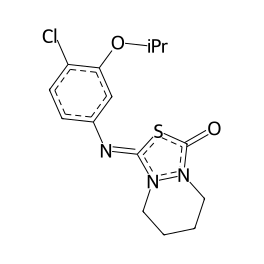 CC(C)Oc1cc(N=c2sc(=O)n3n2CCCC3)ccc1Cl